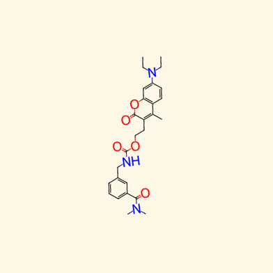 CCN(CC)c1ccc2c(C)c(CCOC(=O)NCc3cccc(C(=O)N(C)C)c3)c(=O)oc2c1